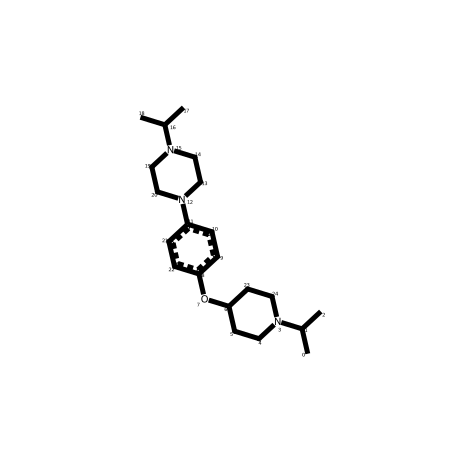 CC(C)N1CCC(Oc2ccc(N3CCN(C(C)C)CC3)cc2)CC1